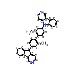 Cc1cc(C2c3ccccc3-c3cnccc32)ccc1-c1ccc(-n2c3ccccc3c3cnccc32)cc1C